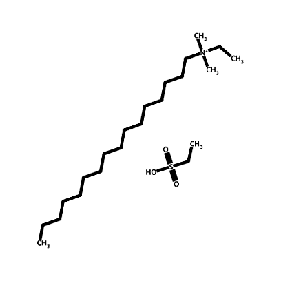 CCCCCCCCCCCCCCCC[N+](C)(C)CC.CCS(=O)(=O)O